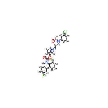 CC(=O)N(CCC[N+]12CCC(CC1)C(OC(=O)N(Cc1ccc(F)cc1)c1ccccc1F)C2)c1cccc(Cl)c1